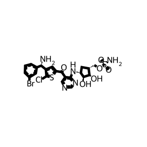 N[C@@H](c1cccc(Br)c1)c1cc(C(=O)c2cncnc2N[C@@H]2C[C@H](COS(N)(=O)=O)[C@@H](O)[C@H]2O)sc1Cl